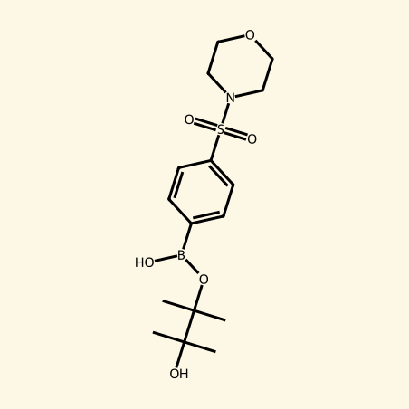 CC(C)(O)C(C)(C)OB(O)c1ccc(S(=O)(=O)N2CCOCC2)cc1